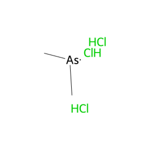 C[As]C.Cl.Cl.Cl